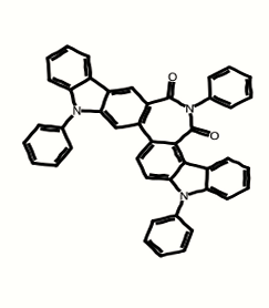 O=c1c2cc3c4ccccc4n(-c4ccccc4)c3cc2c2ccc3c(c4ccccc4n3-c3ccccc3)c2c(=O)n1-c1ccccc1